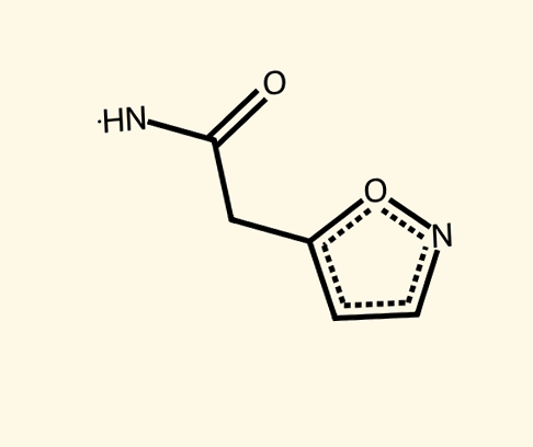 [NH]C(=O)Cc1ccno1